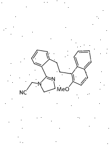 COc1ccc2ccccc2c1CCc1ccccc1C1=NCCN1CC#N